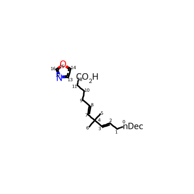 CCCCCCCCCCCC=CC(C)(C)C=CCCCC(=O)O.c1cocn1